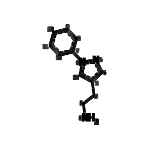 NCCc1cnn(-c2ccccc2)c1